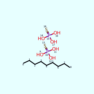 CCCCCCCCC.OP(O)(O)=S.OP(O)(O)=S